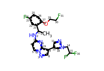 CC(Nc1ccn2ncc(-c3cnn(CC(F)F)c3)c2n1)c1cc(F)ccc1OCCF